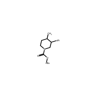 CCCCOC(=O)N1CCC(C)C(CCC)C1